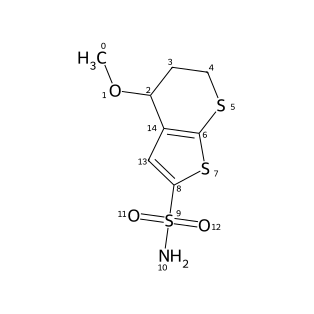 COC1CCSc2sc(S(N)(=O)=O)cc21